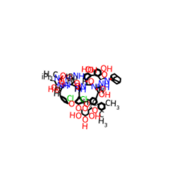 Cc1cc(C)c(OCC2OC(Oc3c4cc5cc3Oc3ccc(cc3Cl)[C@@H](O)[C@H]3NC(=O)[C@H](NC(=O)[C@@H]5NC(=O)[C@H](CC(N)=O)NC(=O)[C@H](NC(=O)[C@@H](CC(C)C)N(C)C(=O)OC(C)(C)C)[C@H](O)c5ccc(c(Cl)c5)O4)c4ccc(O)c(c4)-c4c(O)cc(O)cc4[C@@H](C(=O)NC4C5CC6CC(C5)CC4C6)NC3=O)C(O)C(O)C2O)c(C)c1